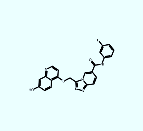 O=C(Nc1cccc(F)c1)c1ccc2nnc(COc3ccnc4cc(O)ccc34)n2c1